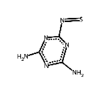 Nc1nc(N)nc(N=S)n1